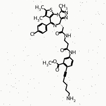 COC(=O)c1cc(NC(=O)CCNC(=O)C[C@@H]2N=C(c3ccc(Cl)cc3)c3c(sc(C)c3C)-n3c(C)nnc32)ccc1C#CCCCCN